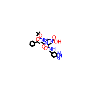 Cn1nnc2cc(CNC(=O)[C@@H]3CN(C(=O)O)CCN3C(=O)[C@@H](CCc3ccccc3)NC(=O)OC(C)(C)C)ccc21